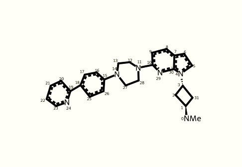 CN[C@H]1C[C@H](n2ccc3ccc(N4CCN(c5ccc(-c6ccccn6)cc5)CC4)nc32)C1